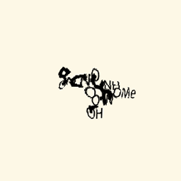 COc1ncc(OCCO)c2c(C(=O)C(=O)N3CCN(C(=O)c4ccccc4)CC3)c[nH]c12